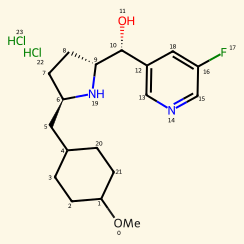 COC1CCC(C[C@H]2CC[C@H]([C@H](O)c3cncc(F)c3)N2)CC1.Cl.Cl